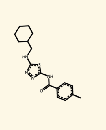 Cc1ccc(C(=O)Nc2nnc(NCC3CCCCC3)s2)cc1